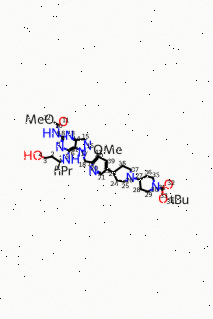 CCC[C@@H](CCO)Nc1nc(NC(=O)OC)nc2cnn(Cc3ncc(C4CCN(C5CCN(C(=O)OC(C)(C)C)CC5)CC4)cc3OC)c12